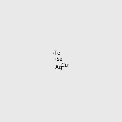 [Ag].[Cu].[Se].[Te]